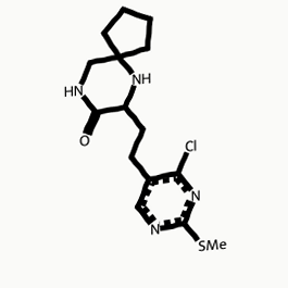 CSc1ncc(CCC2NC3(CCCC3)CNC2=O)c(Cl)n1